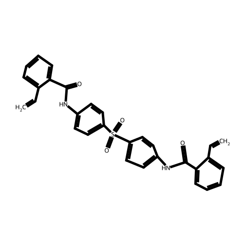 C=Cc1ccccc1C(=O)Nc1ccc(S(=O)(=O)c2ccc(NC(=O)c3ccccc3C=C)cc2)cc1